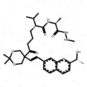 CNNC(=O)[C@H](C)NC(=O)[C@@H](CCCC(=O)C1(/C=C/c2ccc3ccc([C@@H](C)O)nc3c2)COC(C)(C)OC1)C(C)C